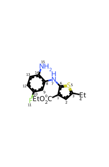 CCOC(=O)c1cc(CC)sc1Nc1cc(F)ccc1N